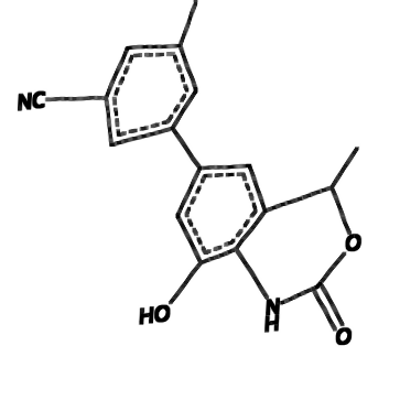 CC1OC(=O)Nc2c(O)cc(-c3cc(F)cc(C#N)c3)cc21